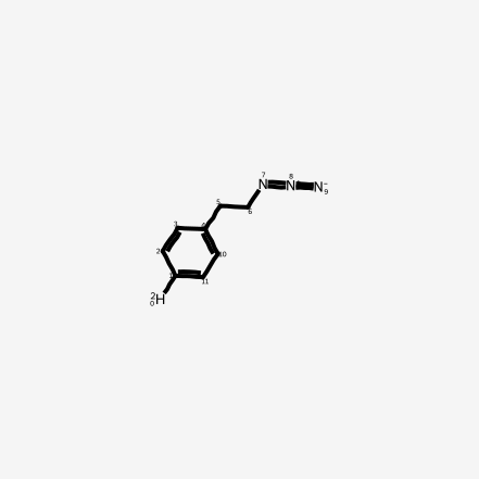 [2H]c1ccc(CCN=[N+]=[N-])cc1